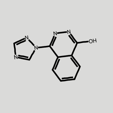 Oc1nnc(-n2cncn2)c2ccccc12